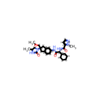 COCC1(N2CC(C)NC2=O)Cc2ccc(NC(=O)[C@@H](NC(=O)c3ccnn3C)C3CCCCC3)cc2C1